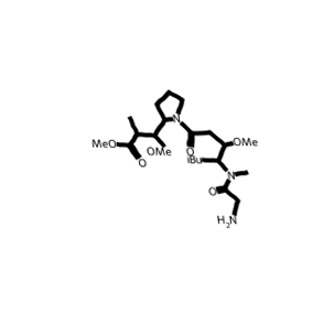 CCC(C)C(C(CC(=O)N1CCCC1C(OC)C(C)C(=O)OC)OC)N(C)C(=O)CN